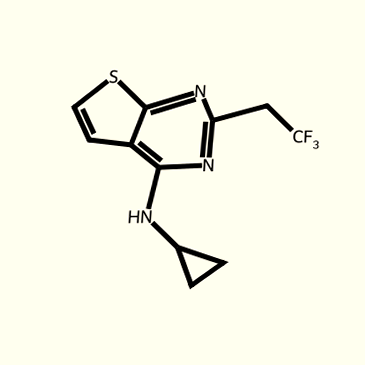 FC(F)(F)Cc1nc(NC2CC2)c2ccsc2n1